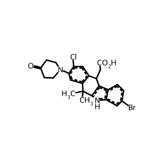 CC1(C)c2cc(N3CCC(=O)CC3)c(Cl)cc2C(CC(=O)O)c2c1[nH]c1cc(Br)ccc21